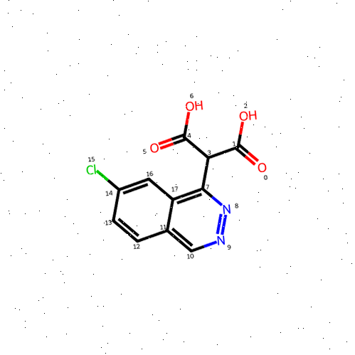 O=C(O)C(C(=O)O)c1nncc2ccc(Cl)cc12